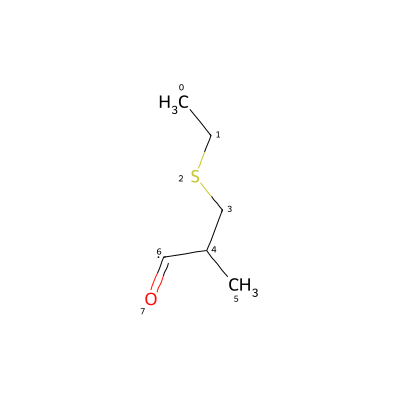 CCSCC(C)[C]=O